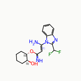 N=C(/C=C(\N)n1c(C(F)F)nc2ccccc21)O[C@H]1CCCC[C@@H]1O